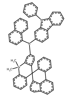 C[Si]1(C)c2ccccc2C2(c3ccccc3-c3cccc4cccc2c34)c2ccc(N(c3ccc4c5ccccc5n(-c5ccccc5)c4c3)c3cccc4ccccc34)cc21